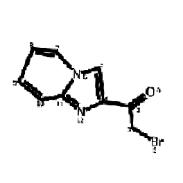 O=C(CBr)c1cn2ccccc2n1